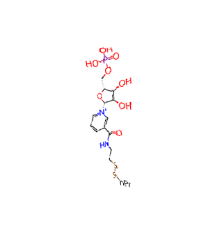 CCCSSCCNC(=O)c1ccc[n+]([C@@H]2O[C@H](COP(=O)(O)O)[C@@H](O)[C@H]2O)c1